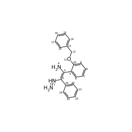 NN/C(=C(\N)c1ccccc1OCc1ccccc1)c1ccccc1